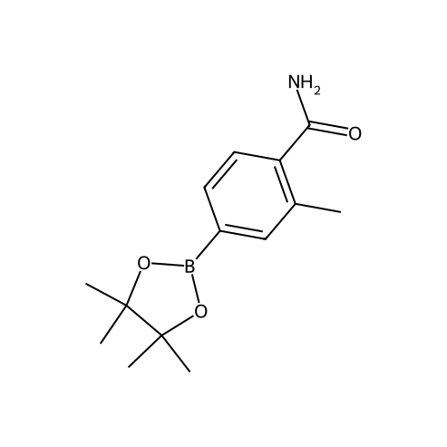 Cc1cc(B2OC(C)(C)C(C)(C)O2)ccc1C(N)=O